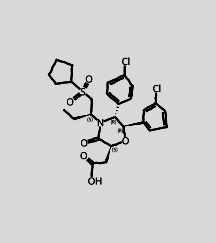 CC[C@@H](CS(=O)(=O)C1CCCC1)N1C(=O)[C@H](CC(=O)O)O[C@H](c2cccc(Cl)c2)[C@H]1c1ccc(Cl)cc1